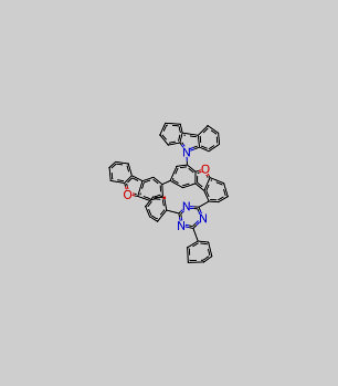 c1ccc(-c2nc(-c3ccccc3)nc(-c3cccc4oc5c(-n6c7ccccc7c7ccccc76)cc(-c6ccc7oc8ccccc8c7c6)cc5c34)n2)cc1